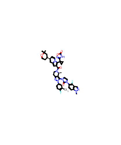 C[C@H]1c2c(nn(-c3ccc(F)c(C(F)(F)F)c3)c2-n2ccn(-c3ccc4c(cnn4C)c3F)c2=O)CCN1C(=O)c1cc2cc([C@H]3CCOC(C)(C)C3)ccn2c1C1(c2noc(=O)[nH]2)CC1